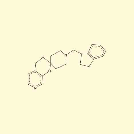 c1ccc2c(c1)CCC2CN1CCC2(CCc3ccncc3O2)CC1